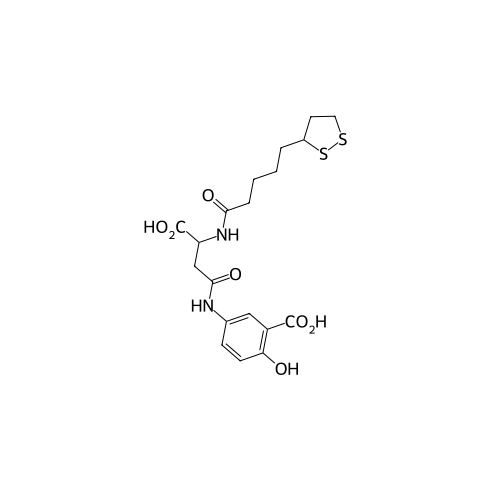 O=C(CC(NC(=O)CCCCC1CCSS1)C(=O)O)Nc1ccc(O)c(C(=O)O)c1